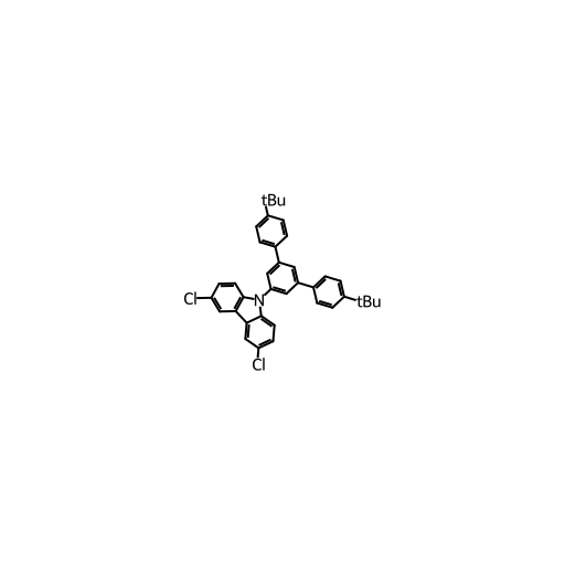 CC(C)(C)c1ccc(-c2cc(-c3ccc(C(C)(C)C)cc3)cc(-n3c4ccc(Cl)cc4c4cc(Cl)ccc43)c2)cc1